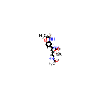 CC1Oc2ccc(C(CCCCNC(=O)C(F)(F)F)NC(=O)OC(C)(C)C)cc2NC1=S